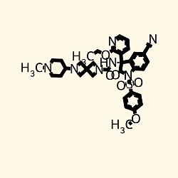 CCOc1ncccc1[C@]1(NC(=O)N2CC3(C2)CN(C2CCN(C)CC2)C3)C(=O)N(S(=O)(=O)c2ccc(OC)cc2)c2ccc(C#N)cc21